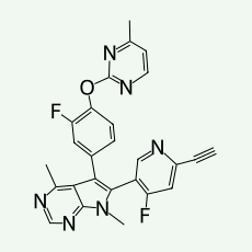 C#Cc1cc(F)c(-c2c(-c3ccc(Oc4nccc(C)n4)c(F)c3)c3c(C)ncnc3n2C)cn1